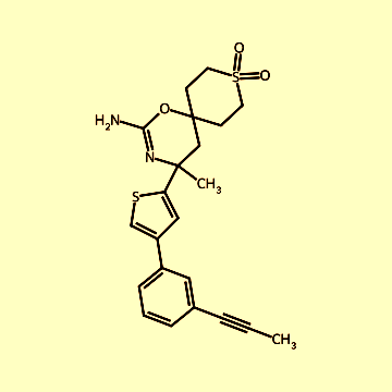 CC#Cc1cccc(-c2csc(C3(C)CC4(CCS(=O)(=O)CC4)OC(N)=N3)c2)c1